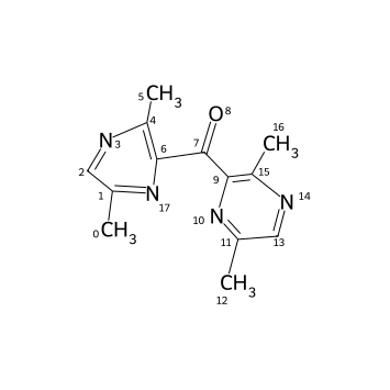 Cc1cnc(C)c(C(=O)c2nc(C)cnc2C)n1